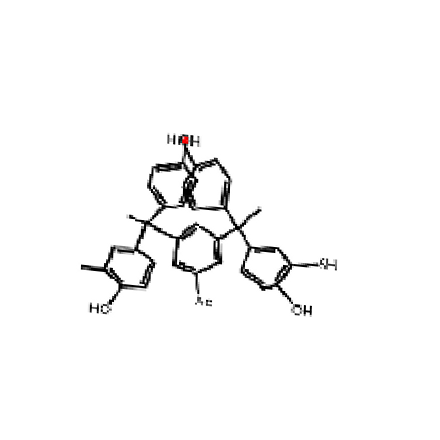 CC(=O)c1cc(C(C)(c2ccc(O)cc2)c2ccc(O)c(C)c2)cc(C(C)(c2ccc(O)cc2)c2ccc(O)c(S)c2)c1